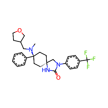 CN(CC1CCOC1)[C@]1(c2ccccc2)CC[C@]2(CC1)CN(c1ccc(C(F)(F)F)cc1)C(=O)N2